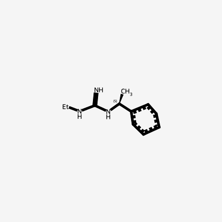 CCNC(=N)N[C@@H](C)c1ccccc1